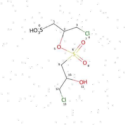 O=S(=O)(O)CC(CCl)OS(=O)(=O)CC(O)CCl